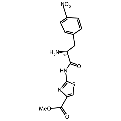 COC(=O)c1csc(NC(=O)[C@@H](N)Cc2ccc([N+](=O)[O-])cc2)n1